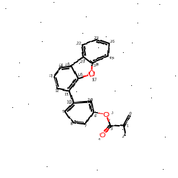 C=C(C)C(=O)Oc1cccc(-c2cccc3c2oc2ccccc23)c1